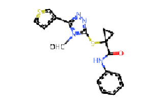 O=Cn1c(SC2(C(=O)Nc3ccccc3)CC2)nnc1-c1ccsc1